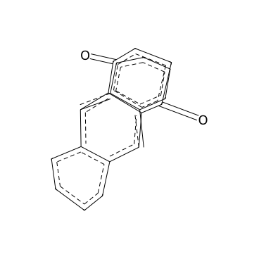 O=c1ccc(=O)c2c1c1c3ccccc3c2c2ccccc21